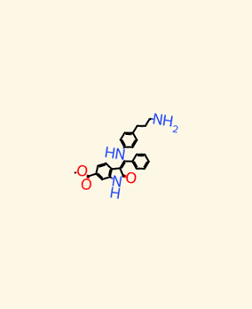 COC(=O)c1ccc2c(c1)NC(=O)C2=C(Nc1ccc(CCCN)cc1)c1ccccc1